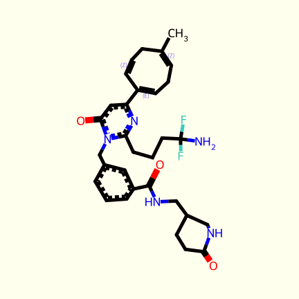 C/C1=C/C/C=C(c2cc(=O)n(Cc3cccc(C(=O)NCC4CCC(=O)NC4)c3)c(CCCC(N)(F)F)n2)\C=C/C1